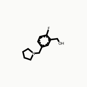 OCc1cc(CN2CCCC2)ccc1F